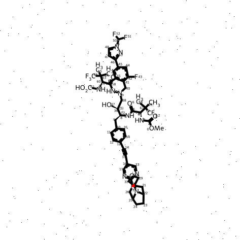 COC(=O)N[C@H](C(=O)N[C@@H](Cc1ccc(C#Cc2cnc(N3CC4CCC(C3)N4C3COC3)nc2)cc1)[C@@H](O)CN(Cc1c(F)cc(-c2ccn(C(F)F)n2)cc1F)NC(=O)[C@@H](NC(=O)O)C(C)(C)C(F)(F)F)C(C)(C)C(F)(F)F